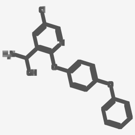 NC(O)c1cc(Cl)cnc1Oc1ccc(Oc2ccccc2)cc1